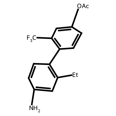 CCc1cc(N)ccc1-c1ccc(OC(C)=O)cc1C(F)(F)F